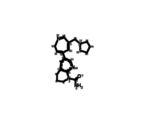 NC(=O)N1CCCc2cc(C3=CCN=CC(CN4CCCS4)=C3)cnc21